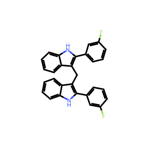 Fc1cccc(-c2[nH]c3ccccc3c2Cc2c(-c3cccc(F)c3)[nH]c3ccccc23)c1